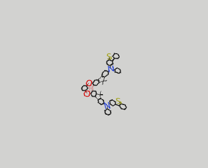 CC1(C)c2cc(N(c3ccccc3)c3ccc4sc5ccccc5c4c3)ccc2-c2cc3c(cc21)B1c2cc4c(cc2Oc2cccc(c21)O3)-c1ccc(N(c2ccccc2)c2ccc3sc5ccccc5c3c2)cc1C4(C)C